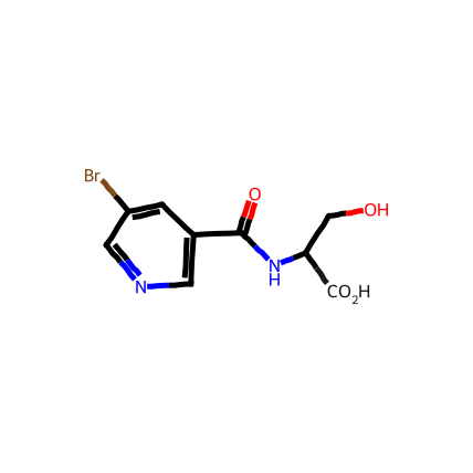 O=C(NC(CO)C(=O)O)c1cncc(Br)c1